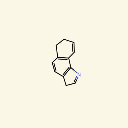 C1=Cc2c(ccc3c2N=CC3)CC1